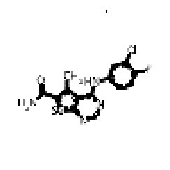 Cc1c(C(N)=O)[se]c2ncnc(Nc3ccc(F)c(Cl)c3)c12